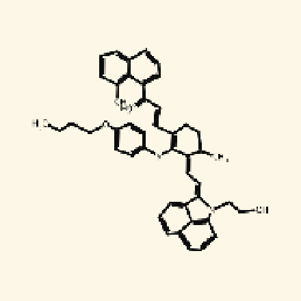 C=C(/C=C/C1=C(Sc2ccc(OCCCC)cc2)C(=C/C=c2\c3cccc4cccc(c43)n2CCO)/C(C)CC1)c1cccc2cccc(C)c12